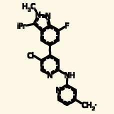 [CH2]c1ccnc(Nc2cc(-c3cc(F)c4nn(C)c(C(C)C)c4c3)c(Cl)cn2)c1